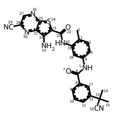 Cc1ccc(NC(=O)c2cccc(C(C)(C)C#N)c2)cc1NC(=O)c1sc2ncc(C#N)nc2c1N